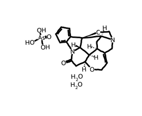 O.O.O=C1C[C@@H]2OCC=C3CN4CC[C@]56c7ccccc7N1[C@H]5[C@H]2[C@H]3C[C@H]46.O=[As](O)(O)O